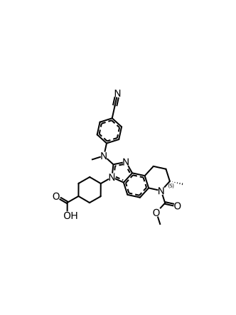 COC(=O)N1c2ccc3c(nc(N(C)c4ccc(C#N)cc4)n3C3CCC(C(=O)O)CC3)c2CC[C@@H]1C